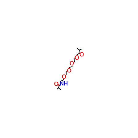 CC(C)C(=O)COCCOCCOCCOCCNC(=O)C(C)C